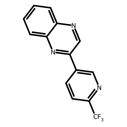 FC(F)(F)c1ccc(-c2cnc3ccccc3n2)cn1